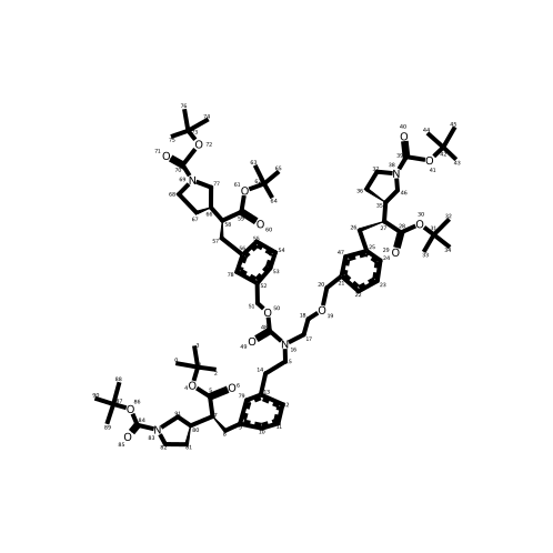 CC(C)(C)OC(=O)[C@@H](Cc1cccc(CCN(CCOCc2cccc(C[C@H](C(=O)OC(C)(C)C)[C@H]3CCN(C(=O)OC(C)(C)C)C3)c2)C(=O)OCc2cccc(C[C@H](C(=O)OC(C)(C)C)[C@H]3CCN(C(=O)OC(C)(C)C)C3)c2)c1)[C@H]1CCN(C(=O)OC(C)(C)C)C1